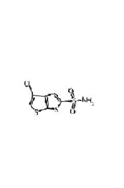 NS(=O)(=O)c1cc2c(Cl)csc2s1